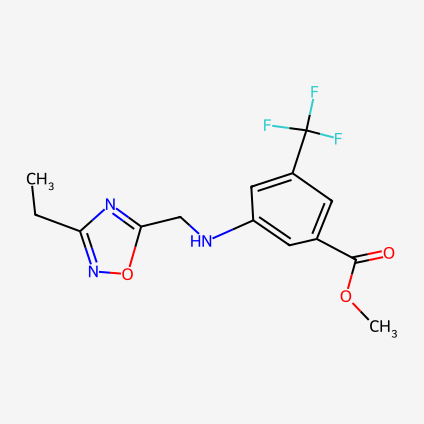 CCc1noc(CNc2cc(C(=O)OC)cc(C(F)(F)F)c2)n1